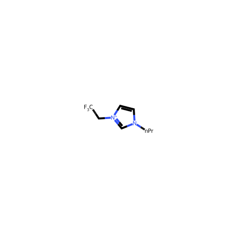 CCCn1cc[n+](CC(F)(F)F)c1